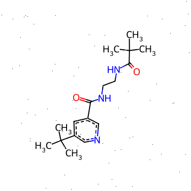 CC(C)(C)C(=O)NCCNC(=O)c1cncc(C(C)(C)C)c1